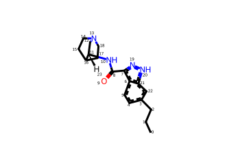 CCCc1ccc2c(C(=O)N[C@H]3CN4CCC3CC4)n[nH]c2c1